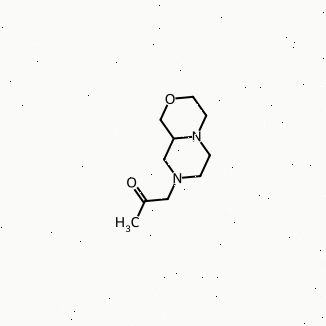 CC(=O)CN1CCN2CCOCC2C1